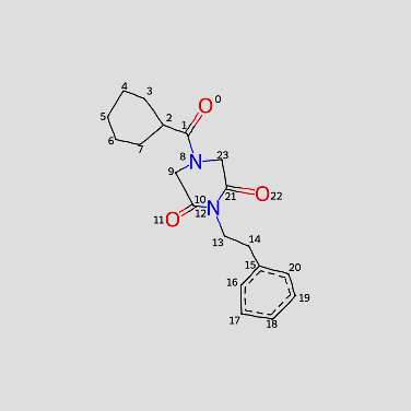 O=C(C1CCCCC1)N1CC(=O)N(CCc2ccccc2)C(=O)C1